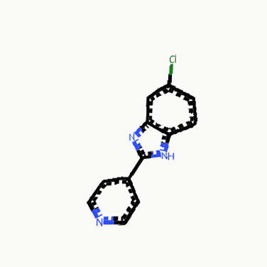 Clc1ccc2[nH]c(-c3ccncc3)nc2c1